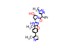 Cc1ncsc1-c1ccc(C2(C)NC([C@@H]3C[C@@H](O)CN3C(=O)C(c3cn(C)nn3)C(C)C)=NC2=O)cc1